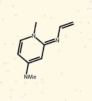 C=C/N=c1/cc(NC)ccn1C